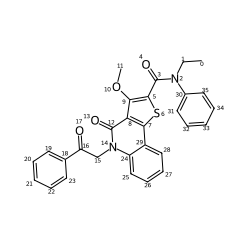 CCN(C(=O)c1sc2c(c1OC)c(=O)n(CC(=O)c1ccccc1)c1ccccc21)c1ccccc1